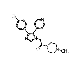 CN1CCN(C(=O)Cn2cnc(-c3ccc(Cl)cc3)c2-c2ccncc2)CC1